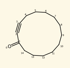 O=C1C#CCCCCCCCCCCC1